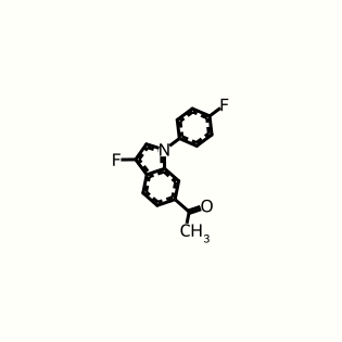 CC(=O)c1ccc2c(F)cn(-c3ccc(F)cc3)c2c1